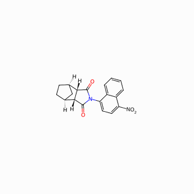 O=C1[C@@H]2[C@H]3CC[C@H](C3)[C@@H]2C(=O)N1c1ccc([N+](=O)[O-])c2ccccc12